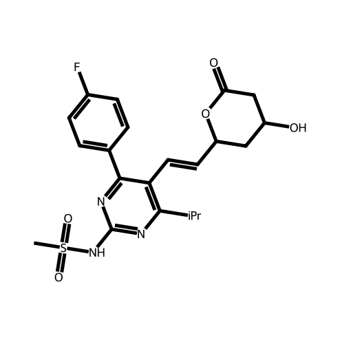 CC(C)c1nc(NS(C)(=O)=O)nc(-c2ccc(F)cc2)c1/C=C/C1CC(O)CC(=O)O1